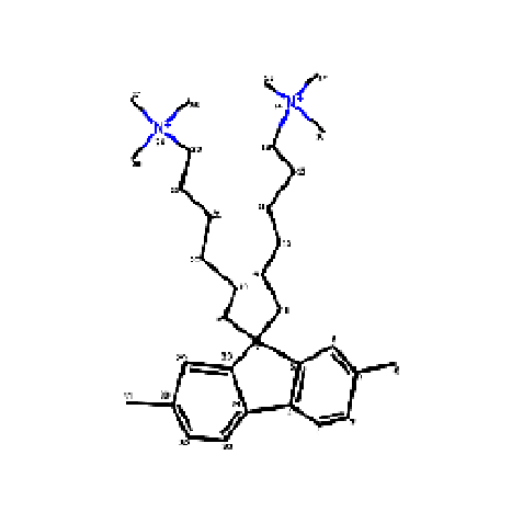 Cc1ccc2c(c1)C(CCCCCC[N+](C)(C)C)(CCCCCC[N+](C)(C)C)c1cc(C)ccc1-2